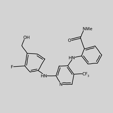 CNC(=O)c1ccccc1Nc1cc(Nc2ccc(CO)c(F)c2)ncc1C(F)(F)F